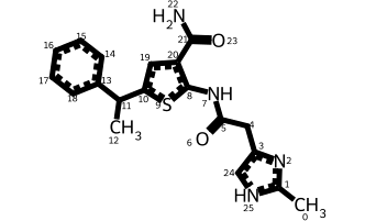 Cc1nc(CC(=O)Nc2sc(C(C)c3ccccc3)cc2C(N)=O)c[nH]1